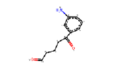 Nc1cccc(C(=O)CCCC=O)c1